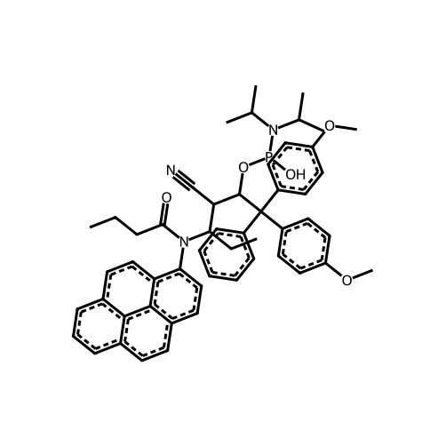 CCCC(=O)N(c1ccc2ccc3cccc4ccc1c2c34)C(CC)C(C#N)C(OP(O)N(C(C)C)C(C)C)C(c1ccccc1)(c1ccc(OC)cc1)c1ccc(OC)cc1